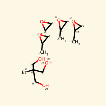 C1CO1.CC1CO1.CC1CO1.CC1CO1.CCC(CO)(CO)CO